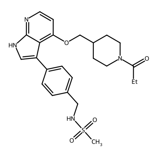 CCC(=O)N1CCC(COc2ccnc3[nH]cc(-c4ccc(CNS(C)(=O)=O)cc4)c23)CC1